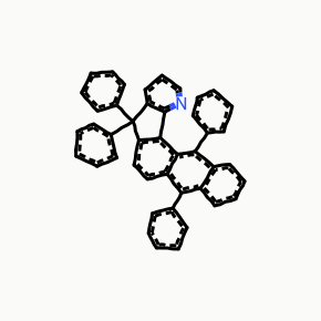 c1ccc(-c2c3ccccc3c(-c3ccccc3)c3c4c(ccc23)C(c2ccccc2)(c2ccccc2)c2cccnc2-4)cc1